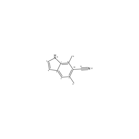 Cc1cc2cc[nH]c2c(C)c1C#N